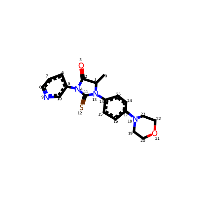 CC1C(=O)N(c2cccnc2)C(=S)N1c1ccc(N2CCOCC2)cc1